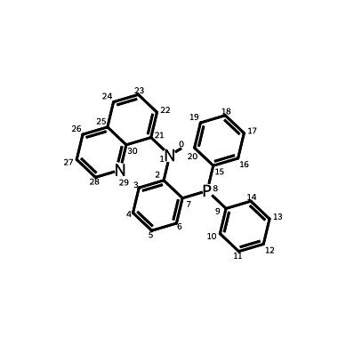 CN(c1ccccc1P(c1ccccc1)c1ccccc1)c1cccc2cccnc12